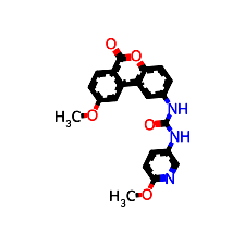 COc1ccc2c(=O)oc3ccc(NC(=O)Nc4ccc(OC)nc4)cc3c2c1